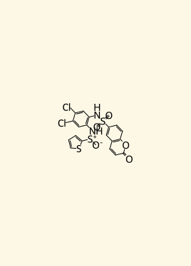 O=c1ccc2cc(S(=O)(=O)Nc3cc(Cl)c(Cl)cc3N[S+]([O-])c3cccs3)ccc2o1